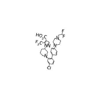 O=C(O)c1cnn(C2CCCN(c3cc(Cl)ccc3-c3ccc(N4CCN(CC(F)F)CC4)cc3)C2)c1C(F)(F)F